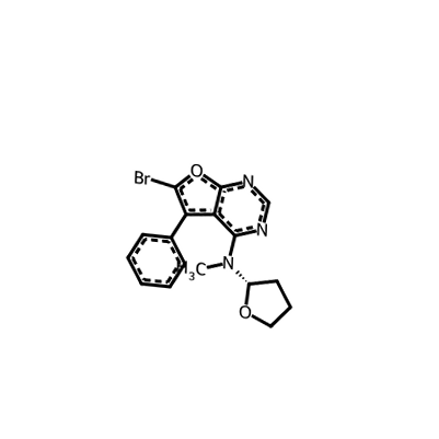 CN(c1ncnc2oc(Br)c(-c3ccccc3)c12)[C@@H]1CCCO1